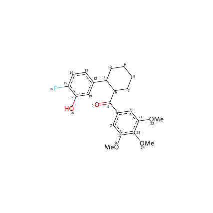 COc1cc(C(=O)C2CCCCC2c2ccc(F)c(O)c2)cc(OC)c1OC